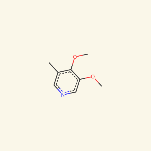 COc1cncc(C)c1OC